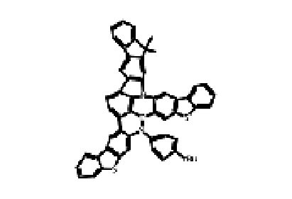 CC(C)(C)c1ccc(N2B3c4cc5sc6ccccc6c5cc4-n4c5cc6c(cc5c5ccc(c3c54)-c3cc4c(cc32)sc2ccccc24)-c2ccccc2C6(C)C)cc1